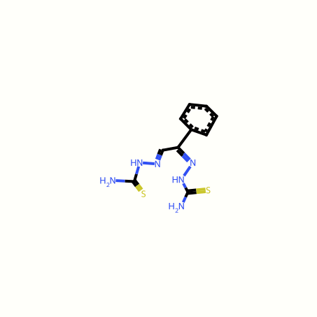 NC(=S)NN=CC(=NNC(N)=S)c1ccccc1